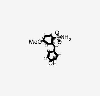 COc1ccc(S(N)(=O)=O)c(Cc2ccc(O)cc2)c1